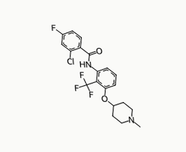 CN1CCC(Oc2cccc(NC(=O)c3ccc(F)cc3Cl)c2C(F)(F)F)CC1